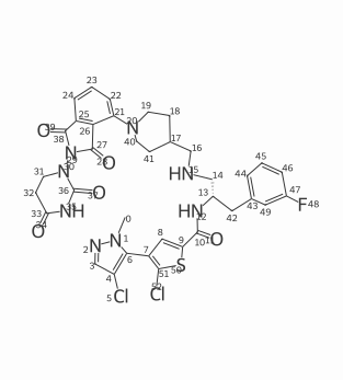 Cn1ncc(Cl)c1-c1cc(C(=O)N[C@H](CNCC2CCN(c3cccc4c3C(=O)N(N3CCC(=O)NC3=O)C4=O)CC2)Cc2cccc(F)c2)sc1Cl